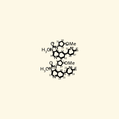 CO[C@@H]1CC[C@@H](n2c(=O)n(C)c3cnc4ccc(-c5ccc(F)nc5)cc4c32)C1.CO[C@H]1CC[C@H](n2c(=O)n(C)c3cnc4ccc(-c5ccc(F)nc5)cc4c32)C1